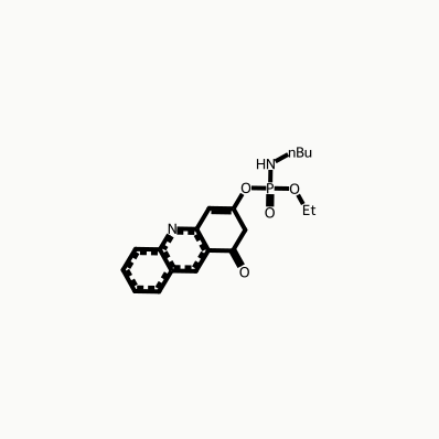 CCCCNP(=O)(OCC)OC1=Cc2nc3ccccc3cc2C(=O)C1